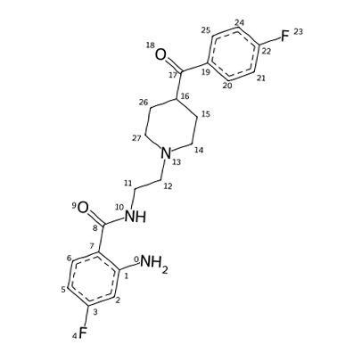 Nc1cc(F)ccc1C(=O)NCCN1CCC(C(=O)c2ccc(F)cc2)CC1